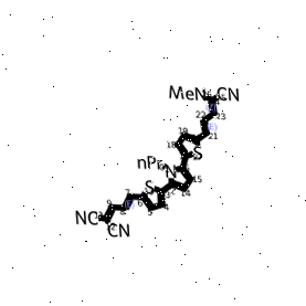 CCCn1c(-c2ccc(/C=C/C=C(C#N)C#N)s2)ccc1-c1ccc(/C=C/C=C(/C#N)NC)s1